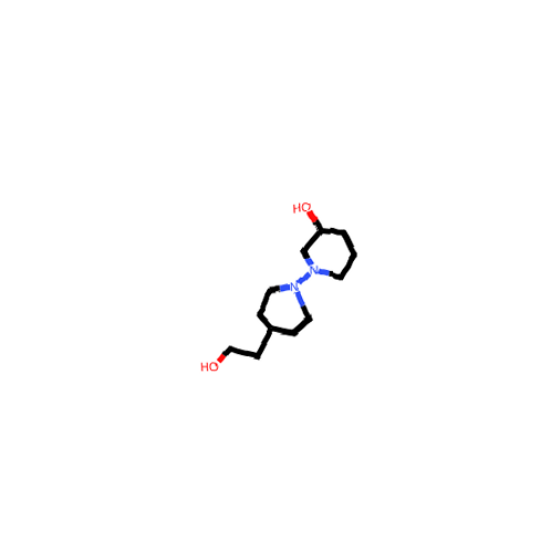 OCCC1CCN(N2CCCC(O)C2)CC1